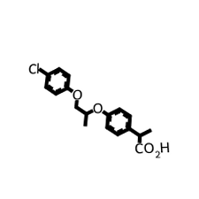 CC(COc1ccc(Cl)cc1)Oc1ccc(C(C)C(=O)O)cc1